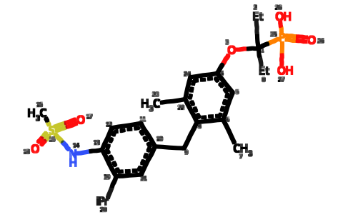 CCC(CC)(Oc1cc(C)c(Cc2ccc(NS(C)(=O)=O)c(C(C)C)c2)c(C)c1)P(=O)(O)O